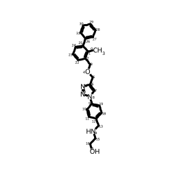 Cc1c(COCc2cn(-c3ccc(CNCCO)cc3)nn2)cccc1-c1ccccc1